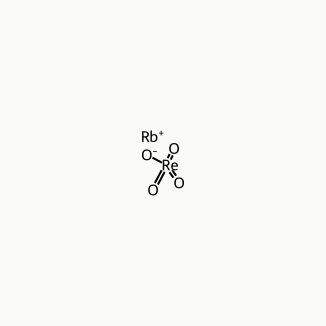 [O]=[Re](=[O])(=[O])[O-].[Rb+]